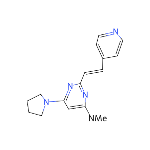 CNc1cc(N2CCCC2)nc(C=Cc2ccncc2)n1